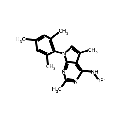 CCCNc1nc(C)nc2c1c(C)cn2-c1c(C)cc(C)cc1C